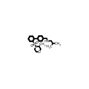 CC(C)CNCc1ccc(-c2ccccc2S(=O)(=O)N2CCOC[C@@H]2C)cc1